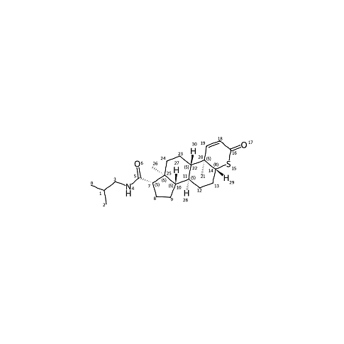 CC(C)CNC(=O)[C@H]1CC[C@H]2[C@@H]3CC[C@H]4SC(=O)C=C[C@]4(C)[C@H]3CC[C@]12C